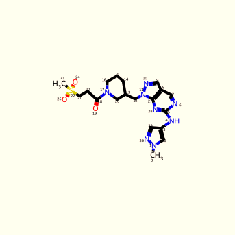 Cn1cc(Nc2ncc3cnn(CC4CCCN(C(=O)CCS(C)(=O)=O)C4)c3n2)cn1